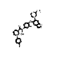 CC1CN(c2cc3[nH]ncc3cc2Oc2ccc(NC(=O)C3=CC=CN(c4ccc(F)cc4)[C@@H]3O)cc2F)CCO1